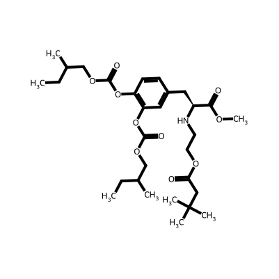 CCC(C)COC(=O)Oc1ccc(C[C@H](NCCOC(=O)CC(C)(C)C)C(=O)OC)cc1OC(=O)OCC(C)CC